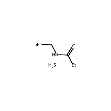 CCCCNC(=O)CC.S